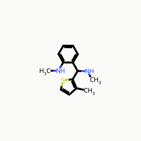 CNc1ccccc1C(NC)c1sccc1C